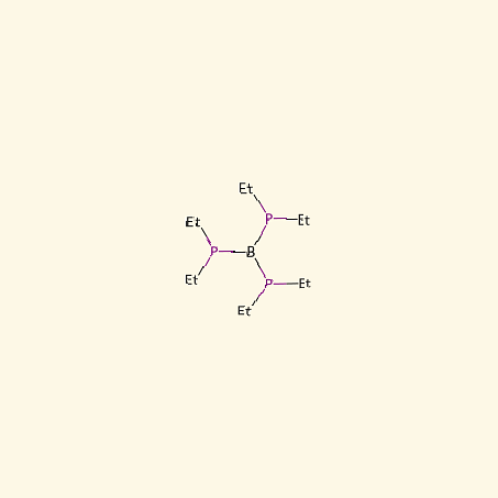 CCP(CC)B(P(CC)CC)P(CC)CC